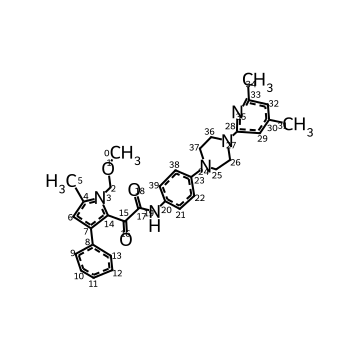 COCn1c(C)cc(-c2ccccc2)c1C(=O)C(=O)Nc1ccc(N2CCN(c3cc(C)cc(C)n3)CC2)cc1